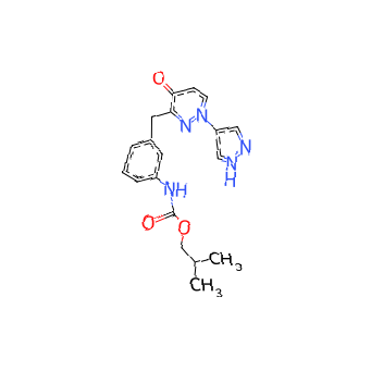 CC(C)COC(=O)Nc1cccc(Cc2nn(-c3cn[nH]c3)ccc2=O)c1